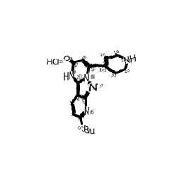 CC(C)(C)c1ccc2c(n1)nn1c(C3CCNCC3)cc(=O)[nH]c21.Cl